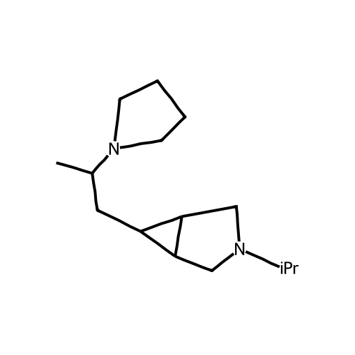 CC(C)N1CC2C(CC(C)N3CCCC3)C2C1